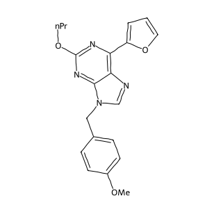 CCCOc1nc(-c2ccco2)c2ncn(Cc3ccc(OC)cc3)c2n1